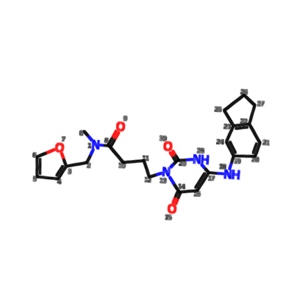 CN(Cc1ccco1)C(=O)CCCn1c(=O)cc(Nc2ccc3c(c2)CCC3)[nH]c1=O